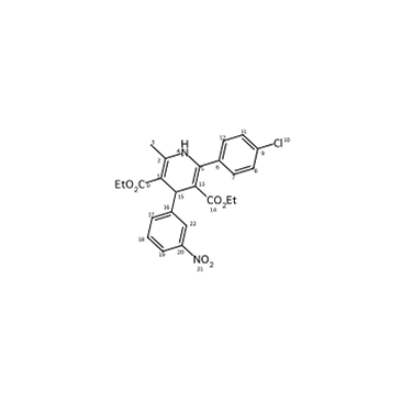 CCOC(=O)C1=C(C)NC(c2ccc(Cl)cc2)=C(C(=O)OCC)C1c1cccc([N+](=O)[O-])c1